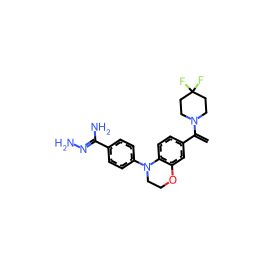 C=C(c1ccc2c(c1)OCCN2c1ccc(/C(N)=N/N)cc1)N1CCC(F)(F)CC1